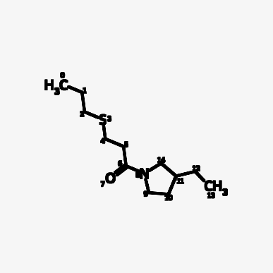 CCCSCCC(=O)N1CCC(CC)C1